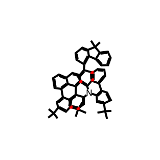 CC(C)(C)c1cc(-c2cccc3cccc(-c4ccccc4N(c4ccc(-c5cccc6c5-c5ccccc5C6(C)C)cc4)c4cc(C(C)(C)C)ccc4-c4ccccc4)c23)cc(C(C)(C)C)c1